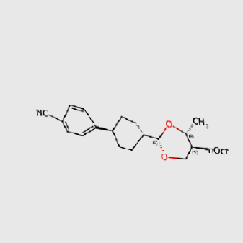 CCCCCCCC[C@H]1CO[C@H]([C@H]2CC[C@H](c3ccc(C#N)cc3)CC2)O[C@@H]1C